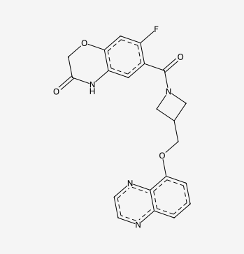 O=C1COc2cc(F)c(C(=O)N3CC(COc4cccc5nccnc45)C3)cc2N1